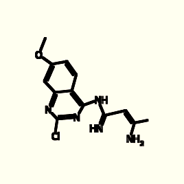 COc1ccc2c(NC(=N)/C=C(/C)N)nc(Cl)nc2c1